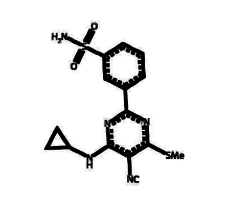 [C-]#[N+]c1c(NC2CC2)nc(-c2cccc(S(N)(=O)=O)c2)nc1SC